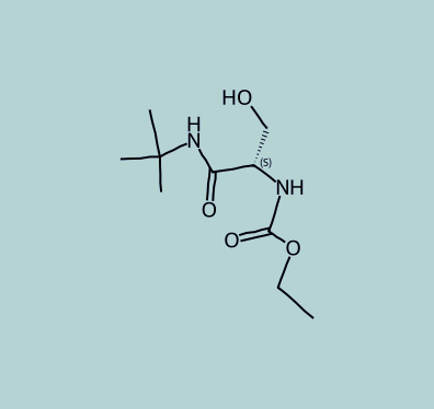 CCOC(=O)N[C@@H](CO)C(=O)NC(C)(C)C